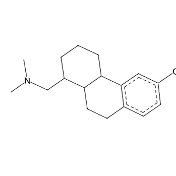 CN(C)CC1CCCC2c3cc(Cl)ccc3CCC12